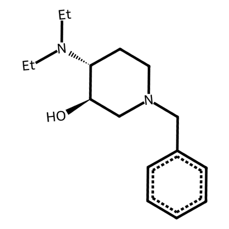 CCN(CC)[C@@H]1CCN(Cc2ccccc2)C[C@H]1O